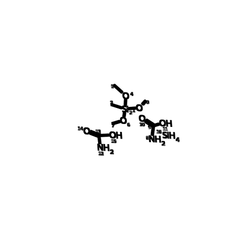 CO[Si](C)(OC)OC.NC(=O)O.NC(=O)O.[SiH4]